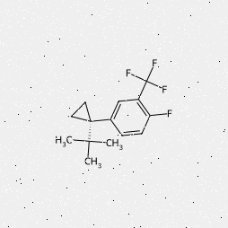 CC(C)(C)[C@]1(c2ccc(F)c(C(F)(F)F)c2)[CH]C1